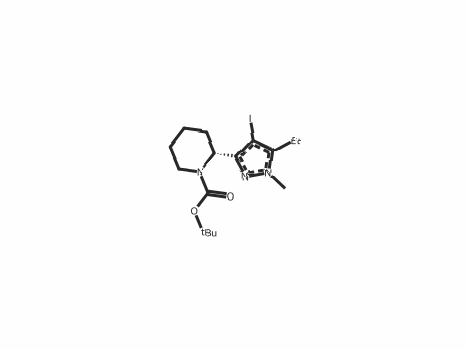 CCc1c(I)c([C@H]2CCCCN2C(=O)OC(C)(C)C)nn1C